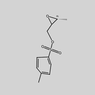 Cc1ccc(S(=O)(=O)OCC2O[C@@H]2C)cc1